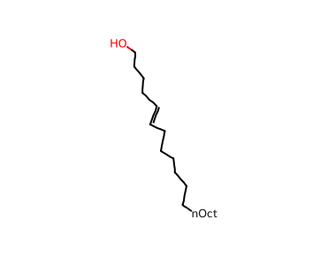 CCCCCCCCCCCCCC/C=C/CCCCO